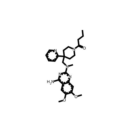 CCCC(=O)N1CCC(CN(C)c2nc(N)c3cc(OC)c(OC)cc3n2)(c2ccccn2)CC1